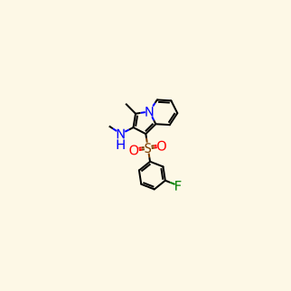 CNc1c(S(=O)(=O)c2cccc(F)c2)c2ccccn2c1C